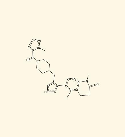 CN1C(=O)CCc2c1ccc(-c1n[nH]cc1CC1CCN(C(=O)c3ccnn3C)CC1)c2F